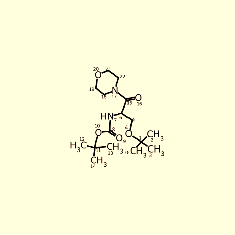 CC(C)(C)OCC(NC(=O)OC(C)(C)C)C(=O)N1CCOCC1